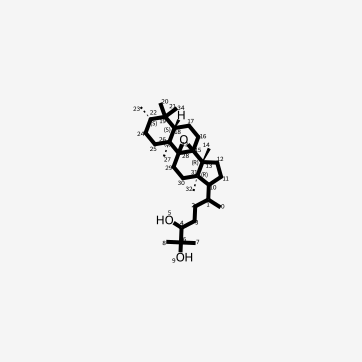 CC(CCC(O)C(C)(C)O)C1CC[C@@]2(C)C34CC[C@H]5C(C)(C)[C@@H](C)CC[C@]5(C)C3(CC[C@]12C)O4